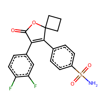 NS(=O)(=O)c1ccc(C2=C(c3ccc(F)c(F)c3)C(=O)OC23CCC3)cc1